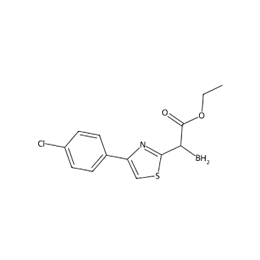 BC(C(=O)OCC)c1nc(-c2ccc(Cl)cc2)cs1